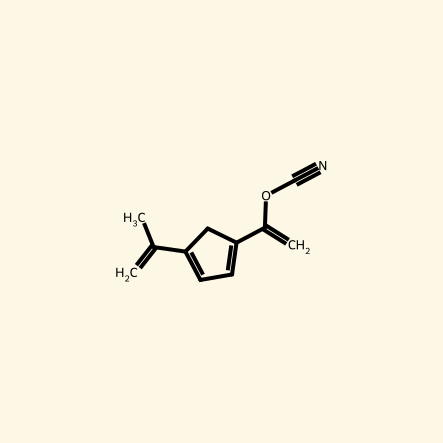 C=C(C)C1=CC=C(C(=C)OC#N)C1